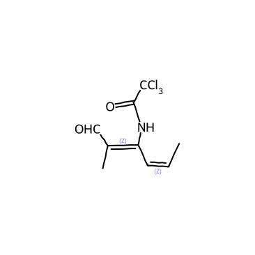 C/C=C\C(NC(=O)C(Cl)(Cl)Cl)=C(/C)C=O